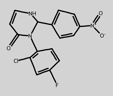 O=C1C=CNC(c2ccc([N+](=O)[O-])cc2)N1c1ccc(F)cc1Cl